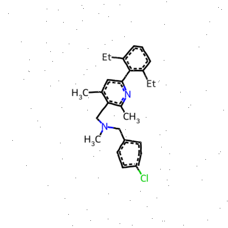 CCc1cccc(CC)c1-c1cc(C)c(CN(C)Cc2ccc(Cl)cc2)c(C)n1